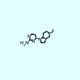 Nc1nccc(-n2ccc3cc(F)ccc32)n1